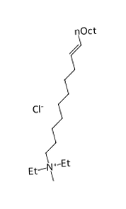 CCCCCCCCC=CCCCCCCCC[N+](C)(CC)CC.[Cl-]